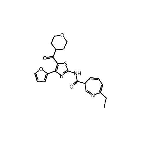 O=C(Nc1nc(-c2ccco2)c(C(=O)C2CCOCC2)s1)C1C=CC=C(CI)N=C1